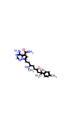 CNC(CCC(=O)CC(C)(C)c1ccc(C)cc1)CCc1cc(C(N)=O)c2c(N)ncnn12